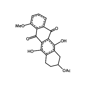 COc1cccc2c1C(=O)c1c(O)c3c(c(O)c1C2=O)CC(OC(C)=O)CC3